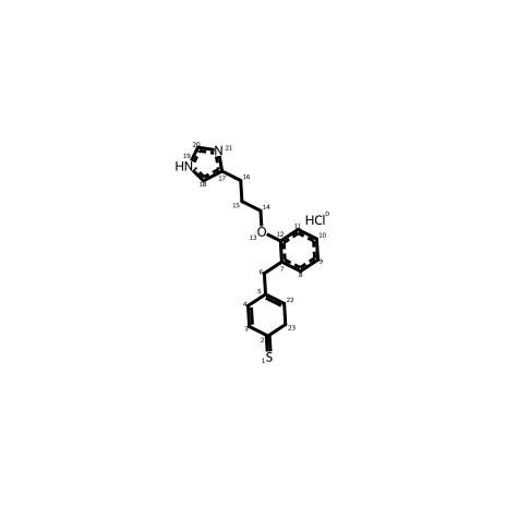 Cl.S=C1C=CC(Cc2ccccc2OCCCc2c[nH]cn2)=CC1